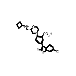 O=C(O)c1cc(-c2c(F)sc3cc(Cl)ccc23)ccc1N1CCO[C@@H](CNC2CCC2)C1